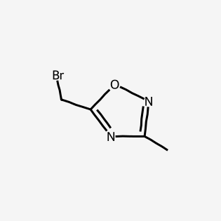 Cc1noc(CBr)n1